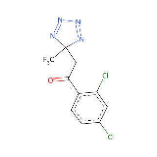 O=C(CC1(C(F)(F)F)N=NN=N1)c1ccc(Cl)cc1Cl